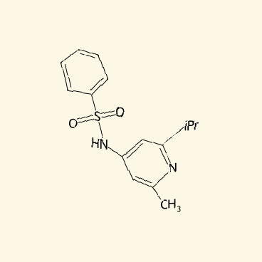 Cc1cc(NS(=O)(=O)c2ccccc2)cc(C(C)C)n1